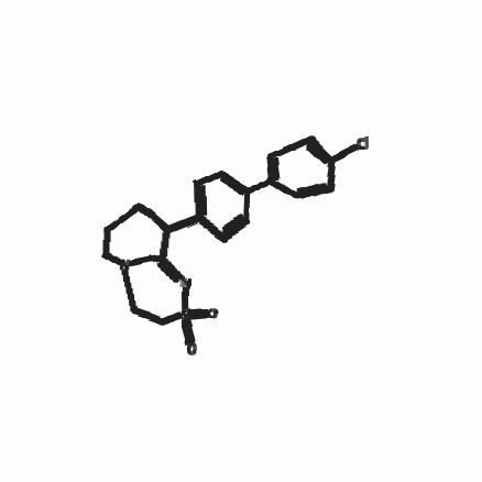 O=S1(=O)CCN2CCCC(c3ccc(-c4ccc(Cl)cc4)cc3)C2=N1